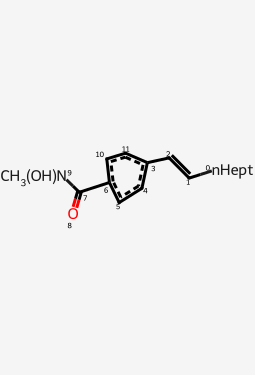 CCCCCCCC=Cc1ccc(C(=O)N(C)O)cc1